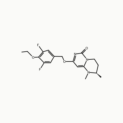 CCOc1c(F)cc(COc2cc3n(c(=O)n2)CC[C@@H](C)N3C)cc1F